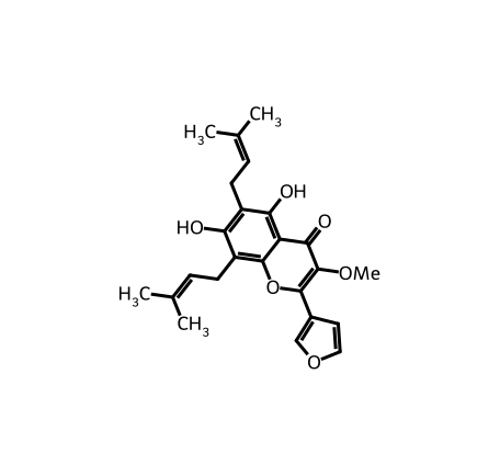 COc1c(-c2ccoc2)oc2c(CC=C(C)C)c(O)c(CC=C(C)C)c(O)c2c1=O